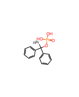 CCCC(OP(=O)(O)O)(c1ccccc1)c1ccccc1